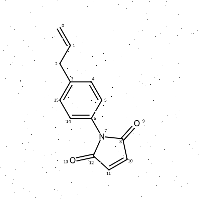 C=CCc1ccc(N2C(=O)C=CC2=O)cc1